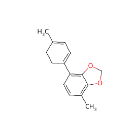 CC1=CC=C(c2ccc(C)c3c2OCO3)CC1